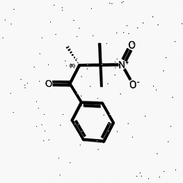 C[C@@H](C(=O)c1ccccc1)C(C)(C)[N+](=O)[O-]